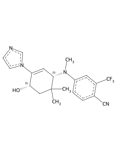 CN(c1ccc(C#N)c(C(F)(F)F)c1)[C@H]1C=C(n2ccnc2)[C@@H](O)CC1(C)C